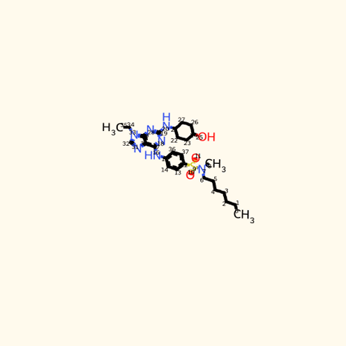 CCCCCCCN(C)S(=O)(=O)c1ccc(Nc2nc(NC3CCC(O)CC3)nc3c2ncn3CC)cc1